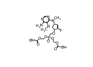 C=Nc1c(N)ncnc1N(C)[C@H]1C=C(F)[C@@H](OCP(=O)(OCOC(=O)C(C)(C)C)OCOC(=O)C(C)(C)C)C1